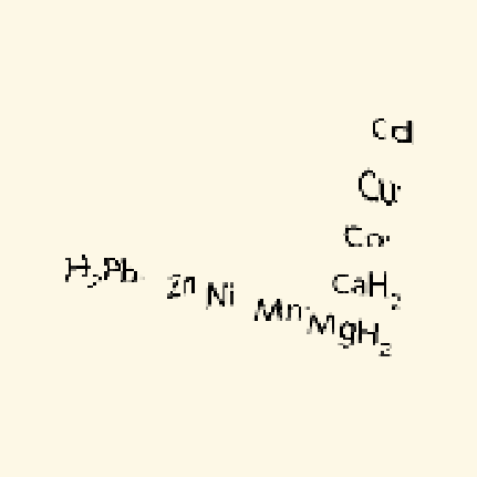 [CaH2].[Cd].[Co].[Cu].[MgH2].[Mn].[Ni].[PbH2].[Zn]